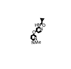 CNc1ccc(Oc2ccnc(NC(=O)C3CC3)c2)cn1